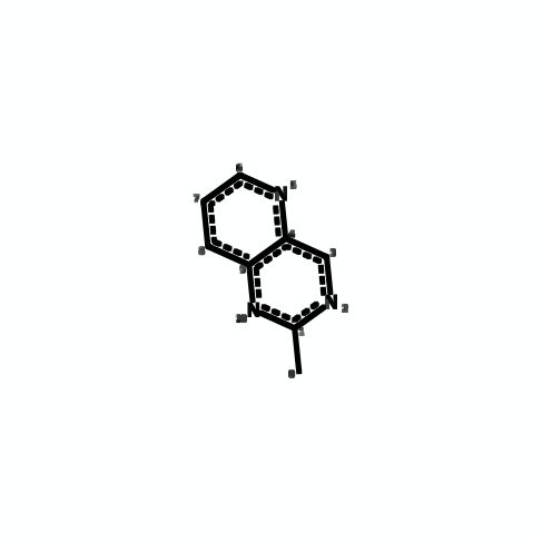 Cc1ncc2ncccc2n1